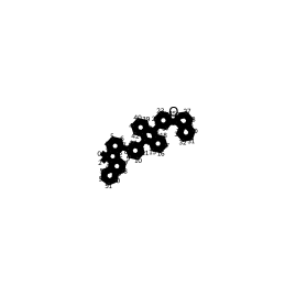 CC1(C)c2cccc(-c3cccc(-c4c5ccccc5c(-c5ccc6oc7ccc8ccccc8c7c6c5)c5ccccc45)c3)c2-c2ccc3ccccc3c21